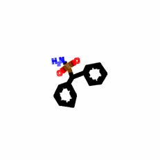 NS(=O)(=O)[C](c1ccccc1)c1ccccc1